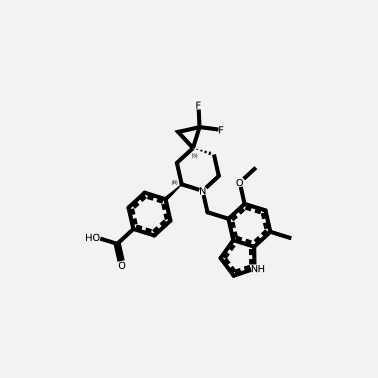 COc1cc(C)c2[nH]ccc2c1CN1CC[C@]2(C[C@@H]1c1ccc(C(=O)O)cc1)CC2(F)F